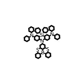 c1ccc(N(c2ccccc2)c2ccc3c(c2)[Si](c2ccccc2)(c2ccccc2)c2cc(N(c4ccccc4)c4ccccc4)ccc2N3c2cc3c4c(c2)Sc2ccccc2B4c2ccccc2S3)cc1